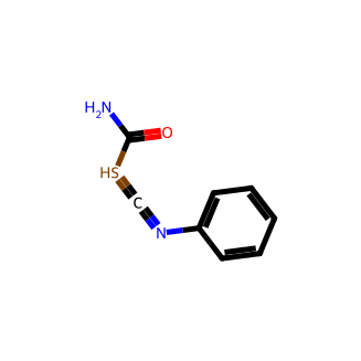 NC(=O)[SH]=C=Nc1ccccc1